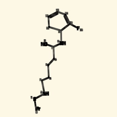 CC(C)SNCCCCC(O)NC1CC=CC=C1F